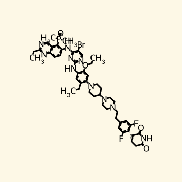 CCOc1cc(N2CCC(N3CCN(CCc4cc(F)c([C@H]5CCC(=O)NC5=O)c(F)c4)CC3)CC2)c(CC)cc1Nc1ncc(Br)c(Nc2ccc3nc(CC)ncc3c2P(C)(C)=O)n1